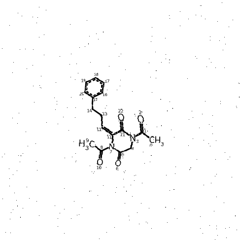 CC(=O)N1CC(=O)N(C(C)=O)/C(=C/CCc2ccccc2)C1=O